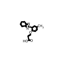 Cc1ccc(OC=CC(=O)O)c(-n2nc3ccccc3n2)c1